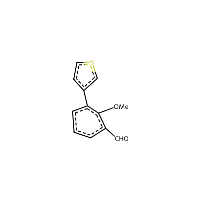 COc1c(C=O)cccc1-c1ccsc1